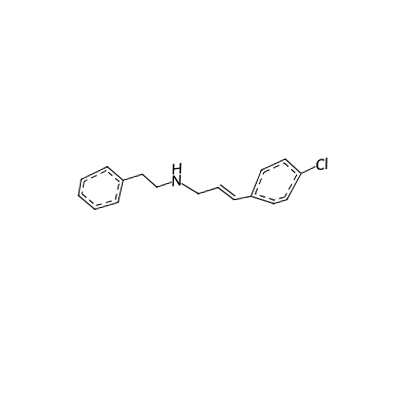 Clc1ccc(C=CCNCCc2ccccc2)cc1